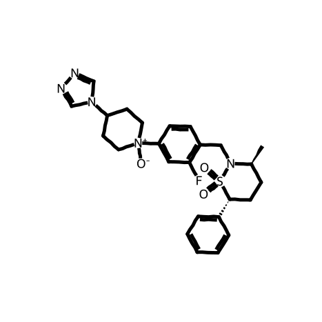 C[C@H]1CC[C@H](c2ccccc2)S(=O)(=O)N1Cc1ccc([N+]2([O-])CCC(n3cnnc3)CC2)cc1F